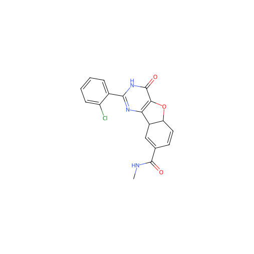 CNC(=O)C1=CC2c3nc(-c4ccccc4Cl)[nH]c(=O)c3OC2C=C1